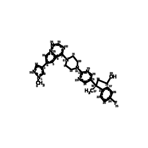 Cn1cc(-c2cc3c(N4CCN(c5ncc([C@@](C)(CCO)c6ccc(F)cc6)cn5)CC4)ncnn3c2)cn1